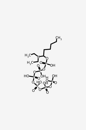 CCCCCC(OP(=O)(O)OP(=O)(O)OP(=O)(O)OP(=O)(O)OP(=O)(O)OP(=O)(O)O)N(CC)CC